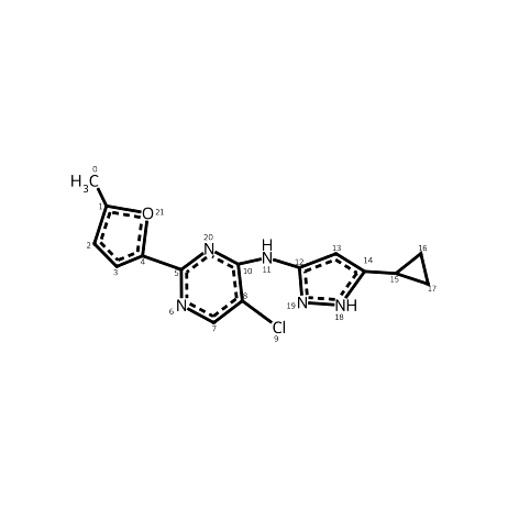 Cc1ccc(-c2ncc(Cl)c(Nc3cc(C4CC4)[nH]n3)n2)o1